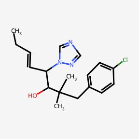 CC/C=C/C(C(O)C(C)(C)Cc1ccc(Cl)cc1)n1cncn1